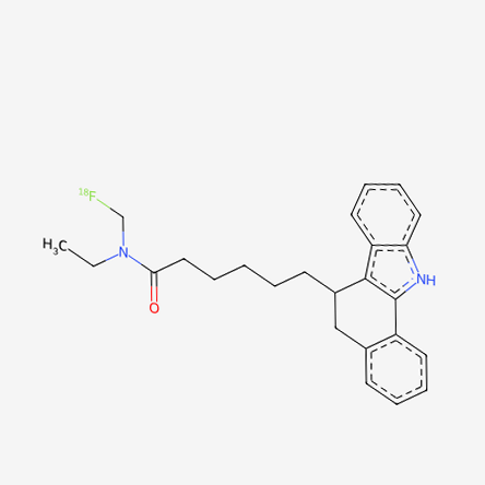 CCN(C[18F])C(=O)CCCCCC1Cc2ccccc2-c2[nH]c3ccccc3c21